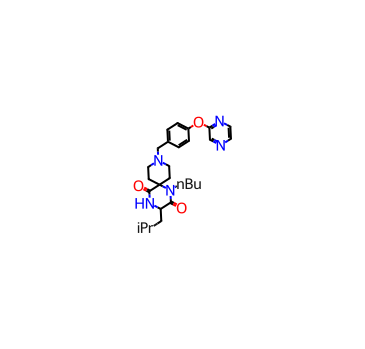 CCCCN1C(=O)C(CC(C)C)NC(=O)C12CCN(Cc1ccc(Oc3cnccn3)cc1)CC2